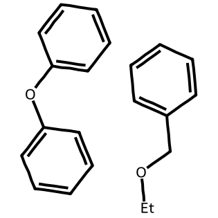 CCOCc1ccccc1.c1ccc(Oc2ccccc2)cc1